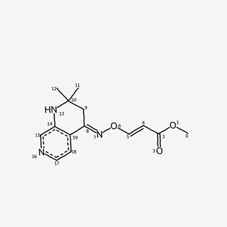 COC(=O)/C=C/O/N=C1\CC(C)(C)Nc2cnccc21